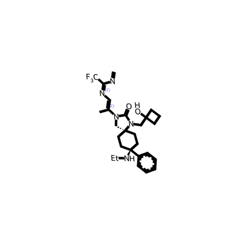 C=N/C(=N\C=C(/C)N1C[C@]2(CC[C@@](NCC)(c3ccccc3)CC2)N(CC2(O)CCC2)C1=O)C(F)(F)F